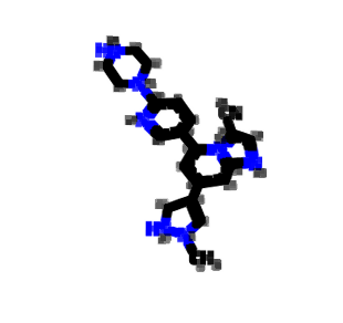 CN1C=C(c2cc(-c3ccc(N4CCNCC4)nc3)n3c(C#N)cnc3c2)CN1